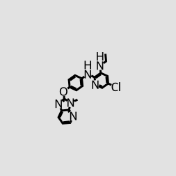 CCNc1cc(Cl)cnc1Nc1ccc(Oc2nc3cccnc3n2C)cc1